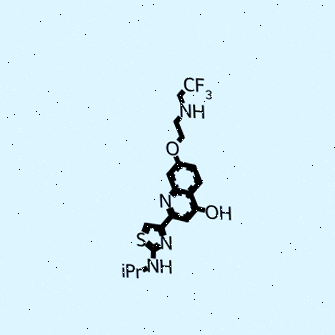 CC(C)Nc1nc(-c2cc(O)c3ccc(OCCNCC(F)(F)F)cc3n2)cs1